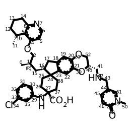 C[C@@H](COc1ccnc2c1[C@H](C)CCC2)C[C@H]1Cc2cc3c(cc2C12CCC(Nc1cccc(Cl)c1)(C(=O)O)CC2)O[C@@H](CNCc1ccc(=O)n(C)c1)CO3